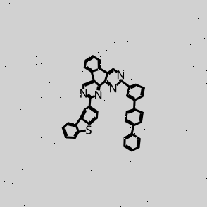 c1ccc(-c2ccc(-c3cccc(-c4ncc5c6ccccc6c6cnc(-c7ccc8sc9ccccc9c8c7)nc6c5n4)c3)cc2)cc1